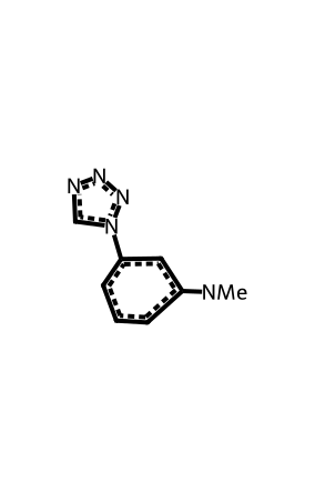 [CH2+][N-]c1cccc(-n2cnnn2)c1